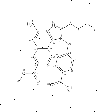 CCCCc1nc2c(N)nc3cc(C(=O)OC)ccc3c2n1Cc1ccc(C(=O)O)cc1